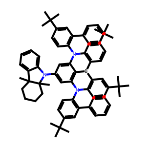 CC(C)(C)c1ccc2c(c1)B1c3ccc(C(C)(C)C)cc3N(c3ccc(C(C)(C)C)cc3-c3ccccc3)c3cc(N4c5ccccc5C5(C)CCCCC45C)cc(c31)N2c1ccc(C(C)(C)C)cc1-c1ccccc1